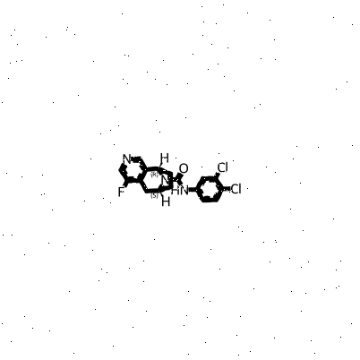 O=C(Nc1ccc(Cl)c(Cl)c1)N1[C@H]2CC[C@@H]1c1cncc(F)c1C2